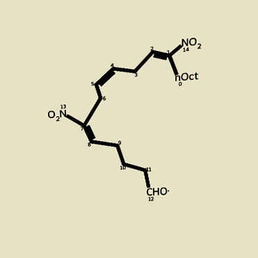 CCCCCCCC/C(=C\C/C=C\C/C(=C\CCC[C]=O)[N+](=O)[O-])[N+](=O)[O-]